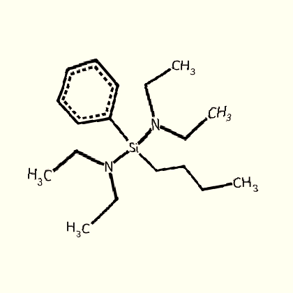 CCCC[Si](c1ccccc1)(N(CC)CC)N(CC)CC